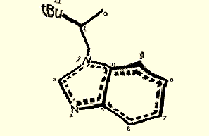 CC(n1cnc2ccccc21)C(C)(C)C